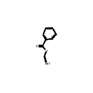 O=C(O[CH][N+](=O)[O-])c1ccccc1